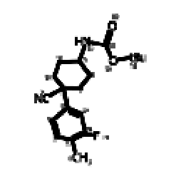 Cc1ccc(C2(C#N)CCC(NC(=O)OC(C)(C)C)CC2)cc1F